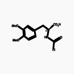 CCC(=O)N[C@@H](Cc1ccc(OC)c(OC)c1)C(=O)O